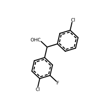 O=CC(c1cccc(Cl)c1)c1ccc(Cl)c(F)c1